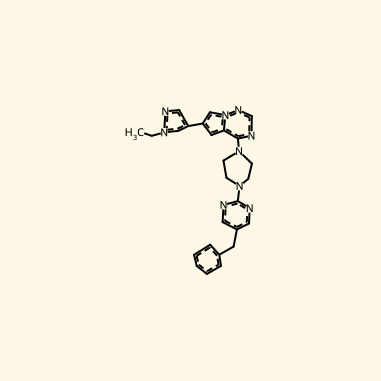 CCn1cc(-c2cc3c(N4CCN(c5ncc(Cc6ccccc6)cn5)CC4)ncnn3c2)cn1